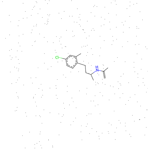 C=C(C)NC(C)CCc1ccc(Cl)cc1C